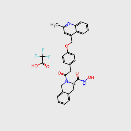 Cc1cc(COc2ccc(CC(=O)N3Cc4ccccc4C[C@@H]3C(=O)NO)cc2)c2ccccc2n1.O=C(O)C(F)(F)F